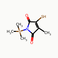 CC1=C(S)C(=O)N(S(C)(C)C)C1=O